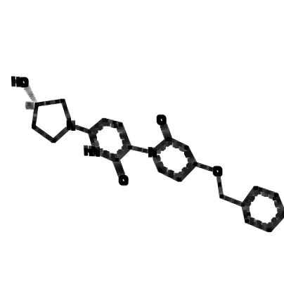 O=c1[nH]c(N2CC[C@H](O)C2)ccc1-n1ccc(OCc2ccccc2)cc1=O